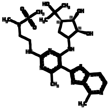 Cc1nc(NCCN(C)S(C)(=O)=O)nc(NC2C[C@H](C(C)(C)O)[C@@H](O)[C@H]2O)c1-c1nc2c(C)nccc2s1